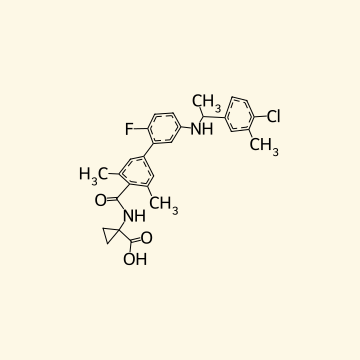 Cc1cc(C(C)Nc2ccc(F)c(-c3cc(C)c(C(=O)NC4(C(=O)O)CC4)c(C)c3)c2)ccc1Cl